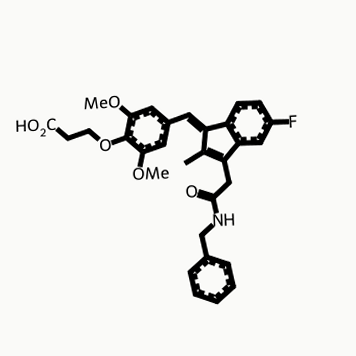 COc1cc(C=C2C(C)=C(CC(=O)NCc3ccccc3)c3cc(F)ccc32)cc(OC)c1OCCC(=O)O